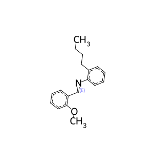 CCCCc1ccccc1/N=C/c1ccccc1OC